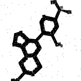 CC[C@@H](O)c1cc(C)c(-c2cc3cnc(NC)cc3n3ncnc23)cn1